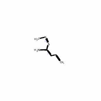 C=C/C=C(N)\N=N/C